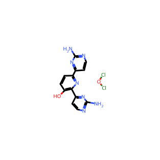 ClOCl.Nc1nccc(-c2ccc(O)c(-c3ccnc(N)n3)n2)n1